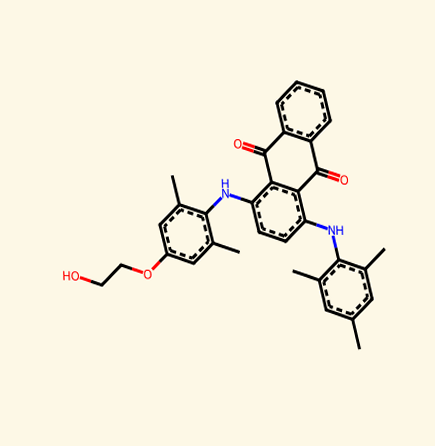 Cc1cc(C)c(Nc2ccc(Nc3c(C)cc(OCCO)cc3C)c3c2C(=O)c2ccccc2C3=O)c(C)c1